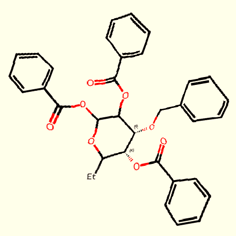 CCC1OC(OC(=O)c2ccccc2)C(OC(=O)c2ccccc2)[C@H](OCc2ccccc2)[C@@H]1OC(=O)c1ccccc1